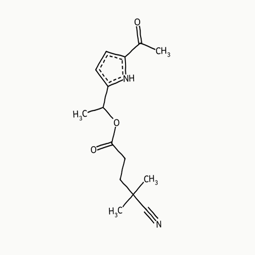 CC(=O)c1ccc(C(C)OC(=O)CCC(C)(C)C#N)[nH]1